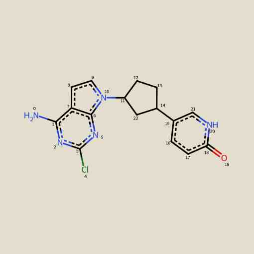 Nc1nc(Cl)nc2c1ccn2C1CCC(c2ccc(=O)[nH]c2)C1